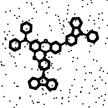 c1ccc(N(c2ccccc2)c2cc3c4c(c2)Oc2cc(-n5c6ccccc6c6ccccc65)ccc2B4c2ccc(-c4ccc5c(c4)c4ccccc4n5-c4ccccc4)cc2O3)cc1